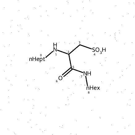 CCCCCCCNC(CS(=O)(=O)O)C(=O)NCCCCCC